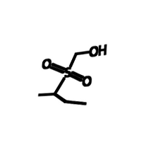 CCC(C)S(=O)(=O)CO